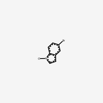 Cln1c[c]c2cc(Br)ccc21